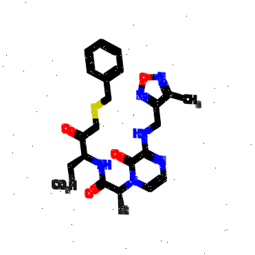 CC[C@@H](C(=O)N[C@@H](CC(=O)O)C(=O)CSCc1ccccc1)n1ccnc(NCc2nonc2C)c1=O